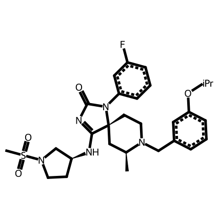 CC(C)Oc1cccc(CN2CC[C@@]3(C[C@@H]2C)C(N[C@H]2CCN(S(C)(=O)=O)C2)=NC(=O)N3c2cccc(F)c2)c1